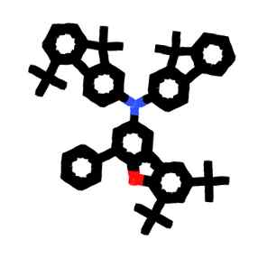 CC(C)(C)c1cc(C(C)(C)C)c2oc3c(-c4ccccc4)cc(N(c4ccc5c(c4)C(C)(C)c4ccccc4-5)c4ccc5c(c4)C(C)(C)c4cccc(C(C)(C)C)c4-5)cc3c2c1